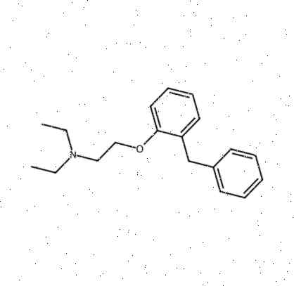 CCN(CC)CCOc1ccccc1Cc1ccccc1